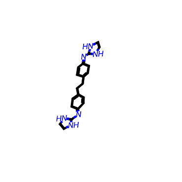 C1=CC(=NC2NCCN2)CC=C1CCC1=CCC(=NC2NCCN2)C=C1